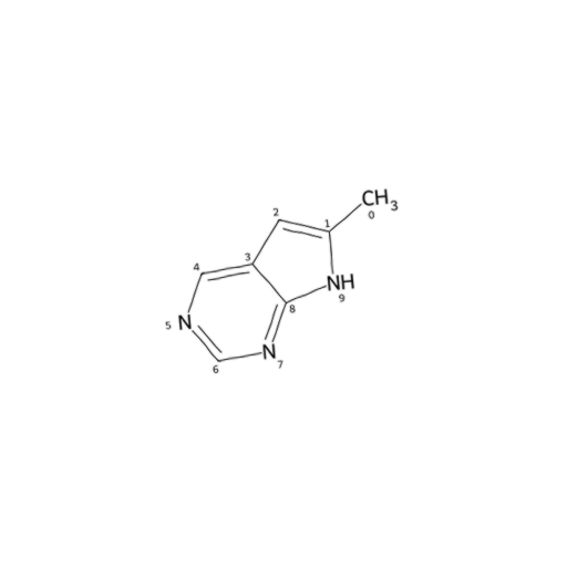 Cc1cc2cncnc2[nH]1